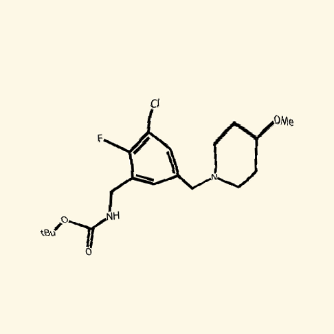 COC1CCN(Cc2cc(Cl)c(F)c(CNC(=O)OC(C)(C)C)c2)CC1